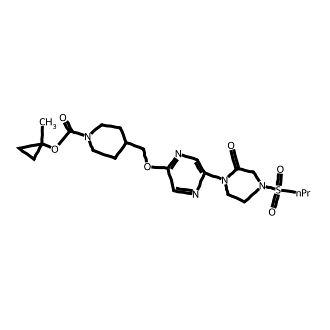 CCCS(=O)(=O)N1CCN(c2cnc(OCC3CCN(C(=O)OC4(C)CC4)CC3)cn2)C(=O)C1